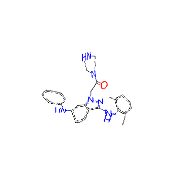 Cc1cccc(C)c1Nc1nn(CC(=O)N2CCNCC2)c2cc(Nc3ccccc3)ccc12